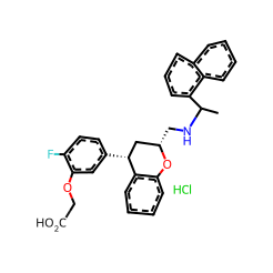 CC(NC[C@H]1C[C@@H](c2ccc(F)c(OCC(=O)O)c2)c2ccccc2O1)c1cccc2ccccc12.Cl